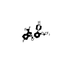 [O-][S+](c1ccc(OCC(F)(F)F)c(N2CCNCC2)c1)n1cc(C(F)F)c2ccc(F)cc21